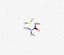 CNC(=O)N(C)C.ClSCl